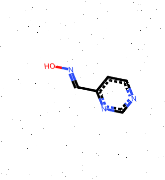 O/N=C/c1ccncn1